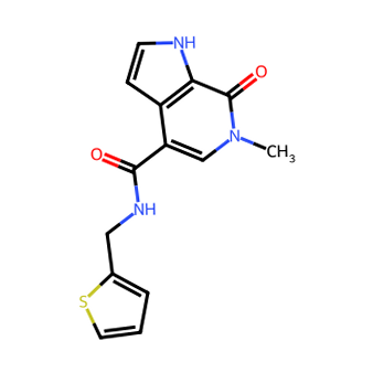 Cn1cc(C(=O)NCc2cccs2)c2cc[nH]c2c1=O